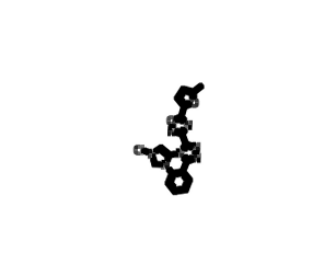 Cc1ccc(-c2nc(-c3nnc4n3C3=CN(Cl)CN3c3ccccc3-4)no2)o1